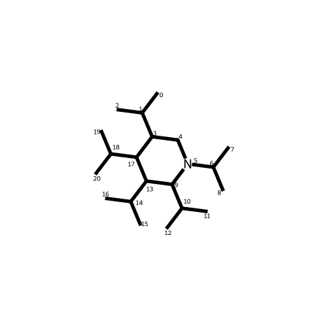 CC(C)C1CN(C(C)C)C(C(C)C)C(C(C)C)C1C(C)C